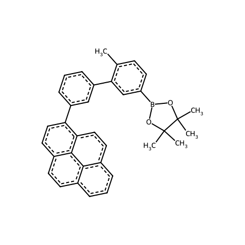 Cc1ccc(B2OC(C)(C)C(C)(C)O2)cc1-c1cccc(-c2ccc3ccc4cccc5ccc2c3c45)c1